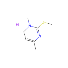 CSC1=NC(C)=CCN1C.I